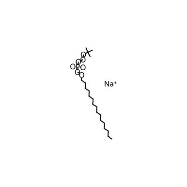 CCCCCCCCCCCCCCCCOOP(=O)([O-])OOOC(C)(C)C.[Na+]